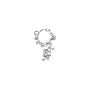 C=C[C@@H]1C[C@]1(NC(=O)[C@@H]1C[C@@H]2CN1C(=O)CNC(=O)OCC(C)(C)CC/C=C\c1cccc3c1cc(n3C)C(=O)O2)C(=O)NS(=O)(=O)C1CC1